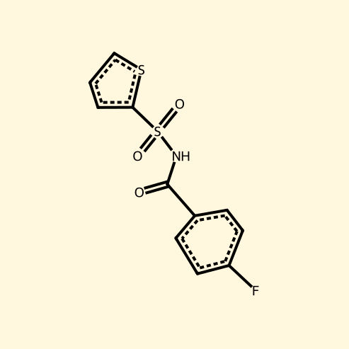 O=C(NS(=O)(=O)c1cccs1)c1ccc(F)cc1